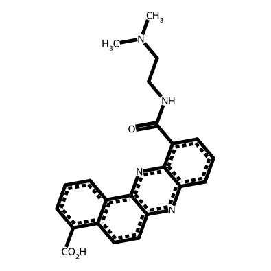 CN(C)CCNC(=O)c1cccc2nc3ccc4c(C(=O)O)cccc4c3nc12